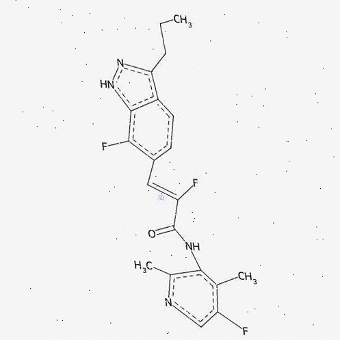 CCCc1n[nH]c2c(F)c(/C=C(\F)C(=O)Nc3c(C)ncc(F)c3C)ccc12